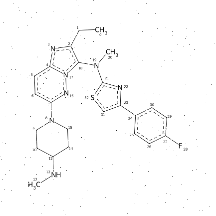 CCc1nc2ccc(N3CCC(NC)CC3)nn2c1N(C)c1nc(-c2ccc(F)cc2)cs1